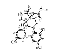 COC(=O)N[C@@]12CC[C@@H](c3ccc(Cl)cc3Cl)[C@H](c3ccc(Cl)cc3)[C@@H]1CNC2=O